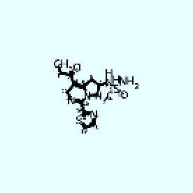 CCC(=O)C1=C2CC(N[SH](C)(N)=O)CN2C(c2nccs2)=NC1